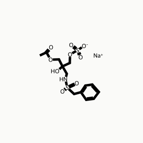 CC(=O)OCC(O)(CNS(=O)(=O)Cc1ccccc1)COS(=O)(=O)[O-].[Na+]